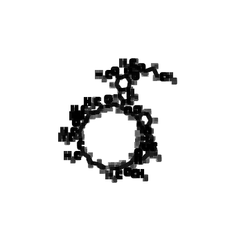 C=C1[C@H](C)C[C@H](C)/C=C/C=C/C=C(\C)[C@@H](OC)C[C@@H]2CC[C@@H](C)C(O)(O2)C(=O)C(=O)N2CCCCC2C(=O)O[C@H]([C@H](C)C[C@@H]2CC[C@@H](OP(C)(=O)OCCCC)[C@H](OC)C2)CC(=O)[C@H](C)/C=C(\C)[C@@H](O)[C@H]1OC